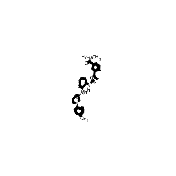 CN(C)C(=O)c1cccc(-c2cnc(N[C@@H]3CCCC[C@H]3N[C@H]3CCCN(c4ccc(C(F)(F)F)cc4)C3)o2)c1